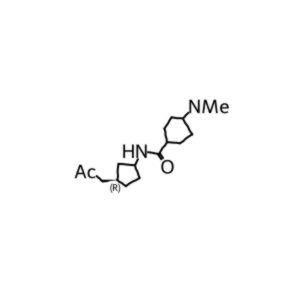 CNC1CCC(C(=O)NC2CC[C@@H](CC(C)=O)C2)CC1